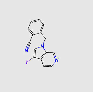 N#Cc1ccccc1Cn1cc(I)c2ccncc21